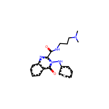 CN(C)CCCNC(=O)c1nc2ccccc2c(=O)n1Nc1ccccc1